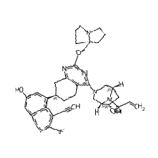 C#Cc1c(F)ccc2cc(O)cc([C@@H]3CCc4c(nc(OCC56CCCN5CCC6)nc4N4C[C@@H]5C[C@@H](O)[C@H](C4)N5C(=O)C=C)C3)c12